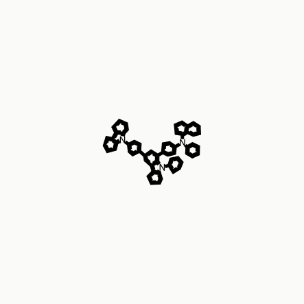 c1ccc(N(c2ccc(-c3cc(-c4ccc(-n5c6ccccc6c6ccccc65)cc4)cc4c5ccccc5n(-c5ccccc5)c34)cc2)c2cccc3ccccc23)cc1